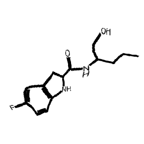 CCCC(CO)NC(=O)C1Cc2cc(F)ccc2N1